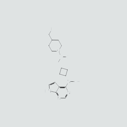 CN(c1ncnc2[nH]ccc12)[C@H]1C[C@@H](C[S+]([O-])N2CCC(CF)CC2)C1